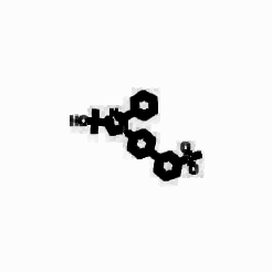 CC(C)(O)c1cn(-c2ccc(-c3cccc(S(C)(=O)=O)c3)cc2)c(-c2ccccc2)n1